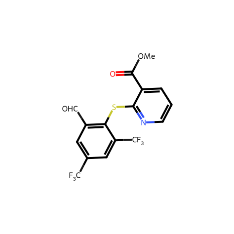 COC(=O)c1cccnc1Sc1c(C=O)cc(C(F)(F)F)cc1C(F)(F)F